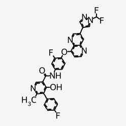 Cc1ncc(C(=O)Nc2ccc(Oc3ccnc4cc(-c5cnn(C(F)F)c5)cnc34)c(F)c2)c(O)c1-c1ccc(F)cc1